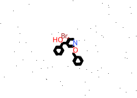 OC(c1ccccc1)c1cc(OCc2ccccc2)ncc1Br